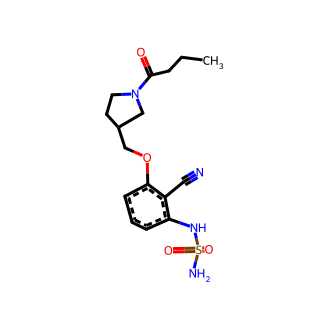 CCCC(=O)N1CCC(COc2cccc(NS(N)(=O)=O)c2C#N)C1